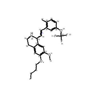 CCCCOc1cc2c(cc1OC)C(/C=C/c1cc(OC(F)(F)F)ccc1C)NCC2